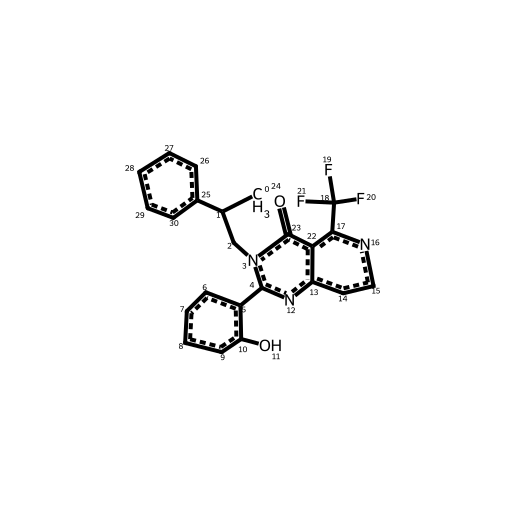 CC(Cn1c(-c2ccccc2O)nc2ccnc(C(F)(F)F)c2c1=O)c1ccccc1